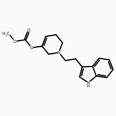 COC(=O)OC1=CCCN(CCc2c[nH]c3ccccc23)C1